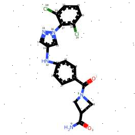 NC(=O)C1CN(C(=O)c2ccc(Nc3cnn(-c4c(Cl)cccc4Cl)c3)cc2)C1